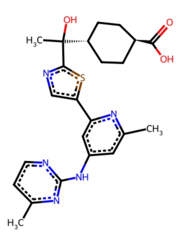 Cc1cc(Nc2nccc(C)n2)cc(-c2cnc(C(C)(O)[C@H]3CC[C@H](C(=O)O)CC3)s2)n1